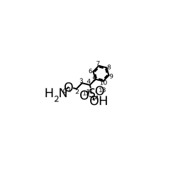 NOCCC(c1ccccc1)S(=O)(=O)O